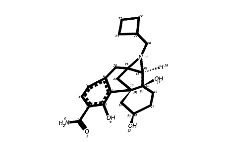 NC(=O)c1ccc2c(c1O)[C@@]13C[C@H](O)CC[C@@]1(O)[C@@H]1N(CC4CCC4)C1(C2)C3